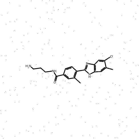 Cc1cc2[nH]c(-c3ccc(C(=O)NCCCN)cc3C)nc2cc1Cl